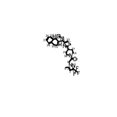 Cc1cc(C(F)(F)F)nn1CC(=O)N1CCC(c2nc(C3=NO[C@H]4c5ccccc5CC[C@@H]34)cs2)CC1